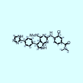 CNc1nc(Nc2ccc(C(=O)N(C)C)cc2Cl)nc2[nH]cc(-c3ccc(-c4nnc[nH]4)cc3)c12